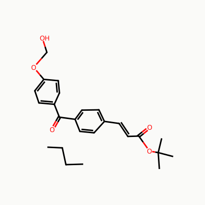 CC(C)(C)OC(=O)C=Cc1ccc(C(=O)c2ccc(OCO)cc2)cc1.CCCC